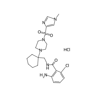 Cl.Cn1cnc(S(=O)(=O)N2CCN(C3(CNC(=O)c4c(N)cccc4Cl)CCCCC3)CC2)c1